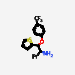 CC(C)C(N)C(Oc1ccc(C(F)(F)F)cc1)c1cccs1